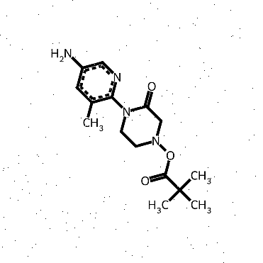 Cc1cc(N)cnc1N1CCN(OC(=O)C(C)(C)C)CC1=O